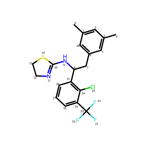 Cc1cc(C)cc(CC(NC2=NCCS2)c2cccc(C(F)(F)F)c2Cl)c1